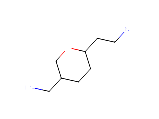 NCCC1CCC(CN)CO1